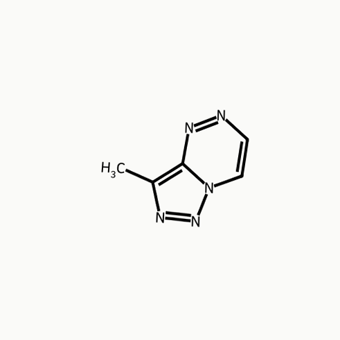 Cc1nnn2ccnnc12